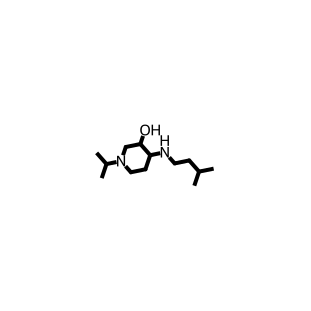 CC(C)CCNC1CCN(C(C)C)CC1O